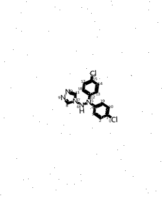 Clc1ccc(N(Nn2cnnc2)c2ccc(Cl)cc2)cc1